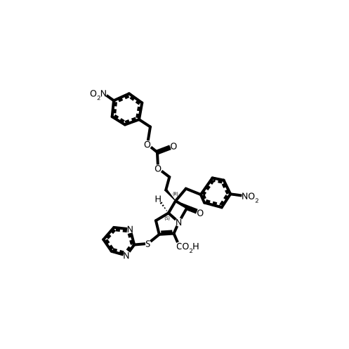 O=C(OCC[C@@]1(Cc2ccc([N+](=O)[O-])cc2)C(=O)N2C(C(=O)O)=C(Sc3ncccn3)C[C@H]21)OCc1ccc([N+](=O)[O-])cc1